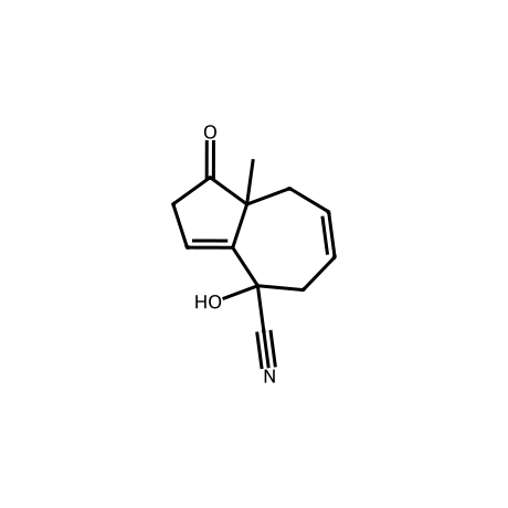 CC12CC=CCC(O)(C#N)C1=CCC2=O